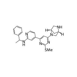 CSc1nc(-c2ccnc(NC(C)c3ccccc3)c2)cc(N2C[C@@H]3C[C@H]2CN3)n1